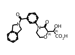 O=C(O)[C@H](O)[C@H]1OCCN(c2cccc(C(=O)N3Cc4ccccc4C3)c2)C1=O